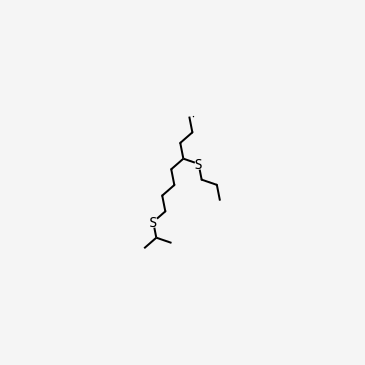 [CH2]CCC(CCCCSC(C)C)SCCC